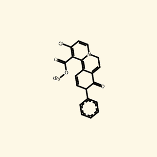 CC(C)(C)OC(=O)C1=C(Cl)C=CN2CC=C3C(=O)C(c4ccccc4)C=CC3=C12